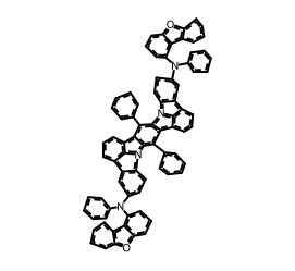 c1ccc(-c2c3c4cccc5c6cc(N(c7ccccc7)c7cccc8oc9ccccc9c78)ccc6n(c3c(-c3ccccc3)c3c6cccc7c8cc(N(c9ccccc9)c9cccc%10oc%11ccccc%11c9%10)ccc8n(c23)c76)c54)cc1